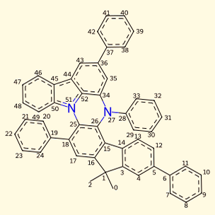 CC1(C)c2cc(-c3ccccc3)ccc2-c2c1cc(-c1ccccc1)c1c2N(c2ccccc2)c2cc(-c3ccccc3)cc3c4ccccc4n-1c23